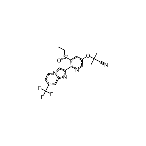 CC[S@@+]([O-])c1cc(OC(C)(C)C#N)cnc1-c1cn2ccc(C(F)(F)F)cc2n1